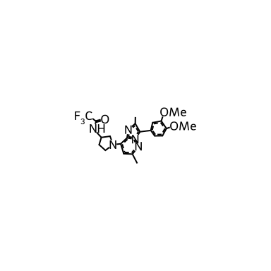 COc1ccc(-c2c(C)nc3c(N4CCC(NC(=O)C(F)(F)F)C4)cc(C)nn23)cc1OC